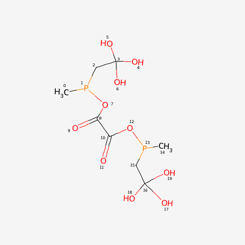 CP(CC(O)(O)O)OC(=O)C(=O)OP(C)CC(O)(O)O